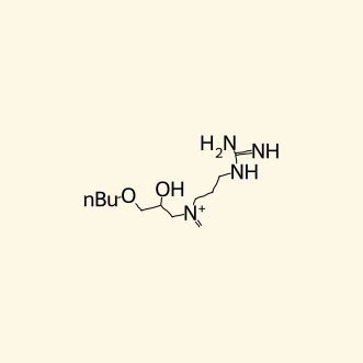 C=[N+](CCCNC(=N)N)CC(O)COCCCC